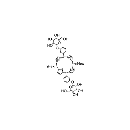 CCCCCCc1c2nc(c(-c3cccc(O[C@@H]4OC(CO)[C@@H](O)C(O)C4O)c3)c3ccc([nH]3)c(CCCCCC)c3nc(c(-c4cccc(OC5O[C@H](CO)C(O)C(O)[C@H]5O)c4)c4ccc1[nH]4)C=C3)C=C2